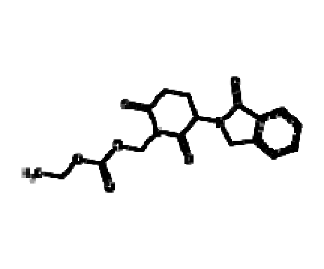 CCOC(=O)OCN1C(=O)CCC(N2Cc3ccccc3C2=O)C1=O